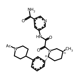 CC(=O)N1CCC(c2cccc([C@H]3CC[C@H](C)CN3C(=O)C(=O)Nc3cncc(C(N)=O)c3)c2)CC1